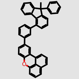 CC1(c2ccccc2)c2ccccc2-c2c(-c3cccc(-c4ccc5c(c4)-c4cccc6cccc(c46)O5)c3)cccc21